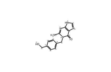 Nc1nc2[nH]cnc2c(=O)n1Cc1ccc(CO)cc1